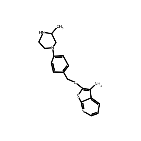 CC1CN(c2ccc(CCc3sc4ncccc4c3N)cc2)CCN1